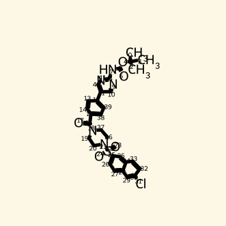 CC(C)(C)OC(=O)Nc1ncc(-c2ccc(C(=O)N3CCN(S(=O)(=O)c4ccc5cc(Cl)ccc5c4)CC3)cc2)cn1